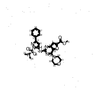 COC(=O)c1cc2nc(Nc3cc(-c4ccccc4)nn3S(=O)(=O)N(C)C)nc(N3CCOCC3)c2o1